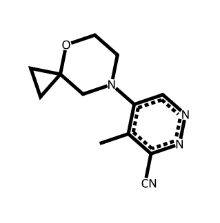 Cc1c(N2CCOC3(CC3)C2)cnnc1C#N